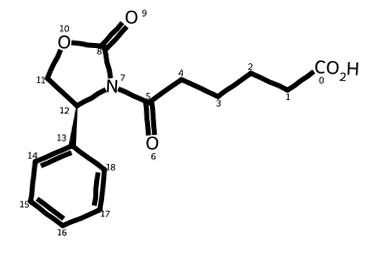 O=C(O)CCCCC(=O)N1C(=O)OC[C@@H]1c1ccccc1